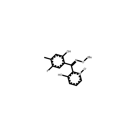 Cc1cc(O)c(C(=NOC(C)(C)C)c2c(O)ccc[n+]2[O-])cc1F